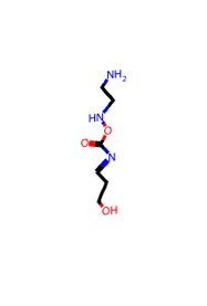 NCCNOC(=O)N=CCCO